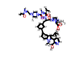 C=CC(=O)N(C)CCN1CCN(C(=O)N(C)[C@H](C(=O)N[C@H]2Cc3cccc(c3)-c3ccc4c(c3)c(c(-c3cccnc3[C@H](C)OC)n4CC)CC(C)(C)COC(=O)[C@@]3([SiH3])CCCN(N3)C2=O)C(C)C)C[C@@H]1C